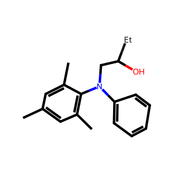 CCC(O)CN(c1ccccc1)c1c(C)cc(C)cc1C